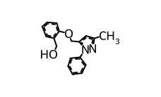 Cc1cc(COc2ccccc2CO)n(-c2ccccc2)n1